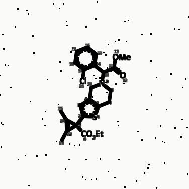 CCOC(=O)C1(c2cc3c(s2)CCN(C(C(=O)OC)c2ccccc2Cl)C3)C(C)=C1C